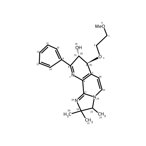 COCCO[C@H]1C2=C(N=C(c3ccccc3)[C@@H]1O)C1=NC(C)(C)C(C)N1C=C2